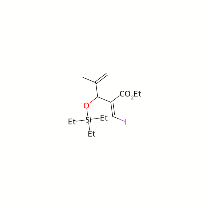 C=C(C)C(O[Si](CC)(CC)CC)C(=CI)C(=O)OCC